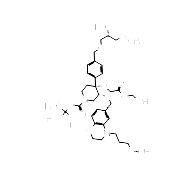 CCOC(=O)CO[C@]1(c2ccc(COC[C@@H](C)COC)cc2)CCN(C(=O)OC(C)(C)C)C[C@@H]1OCc1ccc2c(c1)N(CCCOC)CCO2